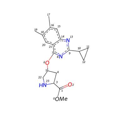 COC(=O)C1CC(Oc2nc(C3CC3)nc3cc(C)c(C)cc23)CN1